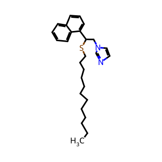 CCCCCCCCCCCCSC(Cn1ccnc1)c1cccc2ccccc12